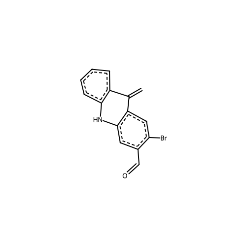 C=C1c2ccccc2Nc2cc(C=O)c(Br)cc21